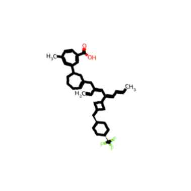 C=C\C(=C/C(=C\C=C\C)C1CC(C[C@H]2CC[C@H](C(F)(F)F)CC2)C1)CC1=CCCCC(C2=C=C(C)C=CC(C(=O)O)=C2)C1